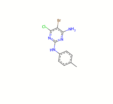 Cc1ccc(Nc2nc(N)c(Br)c(Cl)n2)cc1